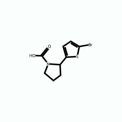 O=C(O)N1CCCC1c1ccc(Br)s1